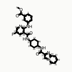 COC(=O)c1cccc(Nc2ncc(F)cc2C(=O)NC2CCC(NC(=O)c3cn4ccccc4n3)CC2)c1